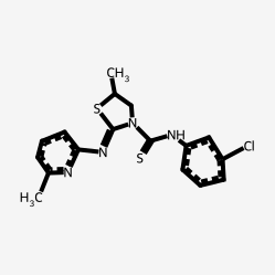 Cc1cccc(N=C2SC(C)CN2C(=S)Nc2cccc(Cl)c2)n1